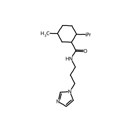 CC1CCC(C(C)C)C(C(=O)NCCCn2ccnc2)C1